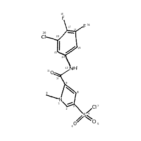 Cn1cc(S(=O)(=O)Cl)cc1C(=O)Nc1cc(F)c(F)c(Cl)c1